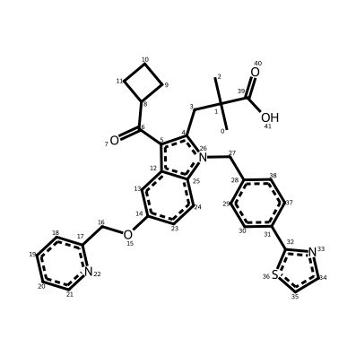 CC(C)(Cc1c(C(=O)C2CCC2)c2cc(OCc3ccccn3)ccc2n1Cc1ccc(-c2nccs2)cc1)C(=O)O